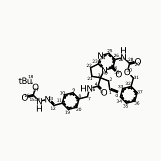 C=CCC1(C(=O)NCc2ccc(C=NNC(=O)OC(C)(C)C)cc2)CCc2ncc(NC(=O)OCc3ccccc3)c(=O)n21